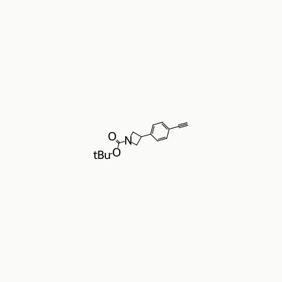 C#Cc1ccc(C2CN(C(=O)OC(C)(C)C)C2)cc1